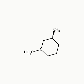 C[C@H]1CCCN(C(=O)O)C1